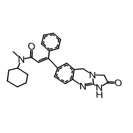 CN(C(=O)/C=C(\c1ccccc1)c1ccc2c(c1)CN1CC(=O)NC1=N2)C1CCCCC1